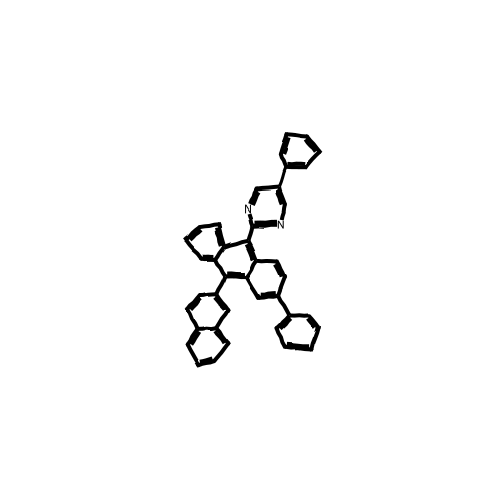 c1ccc(-c2cnc(-c3c4ccccc4c(-c4ccc5ccccc5c4)c4cc(-c5ccccc5)ccc34)nc2)cc1